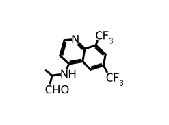 CC(C=O)Nc1ccnc2c(C(F)(F)F)cc(C(F)(F)F)cc12